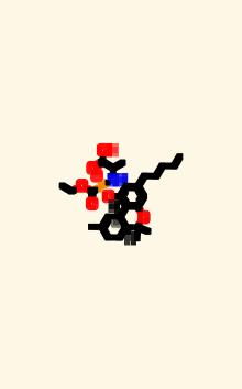 CCCCCc1cc2c(c(OP(=O)(NC(C)C(=O)O)C(=O)OCC)c1)[C@@H]1C=C(C)CC[C@H]1C(C)(C)O2